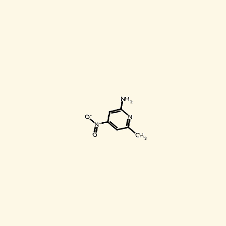 Cc1cc([N+](=O)[O-])cc(N)n1